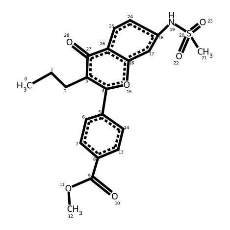 CCCc1c(-c2ccc(C(=O)OC)cc2)oc2cc(NS(C)(=O)=O)ccc2c1=O